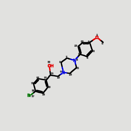 COc1ccc(N2CCN(CC(O)c3ccc(Br)cc3)CC2)cc1